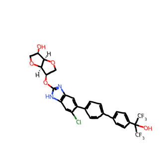 O[C@@H]1CO[C@H]2[C@@H]1OC[C@H]2Oc1nc2cc(-c3ccc(-c4ccc(C(O)(C(F)(F)F)C(F)(F)F)cc4)cc3)c(Cl)cc2[nH]1